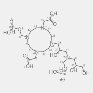 O=C(O)CN1CCN(CO[PH](=O)O)CCN(CC(=O)O)CCN(CC(O)CN(CO[PH](=O)O)CC(O)CO)CC1